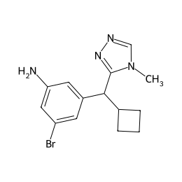 Cn1cnnc1C(c1cc(N)cc(Br)c1)C1CCC1